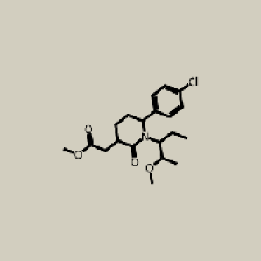 CCC(C(C)OC)N1C(=O)C(CC(=O)OC)CCC1c1ccc(Cl)cc1